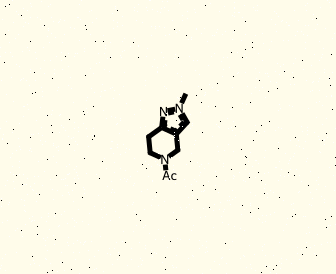 CC(=O)N1CCc2nn(C)cc2C1